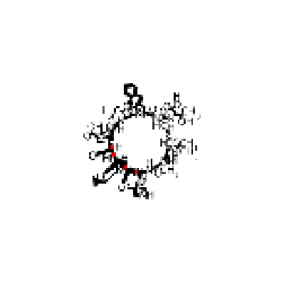 CC(C)[C@@H]1NC(=O)[C@@H]2CCCCn3cc(nn3)CC[C@H](NC(=O)[C@H](C)NC(=O)[C@@H](NC(C)(C)C)CSCC[C@@H](C(=O)N[C@H](C(=O)O)[C@@H](C)O)NC(=O)[C@H](Cc3cc4ccccc4cn3)NC1=O)C(=O)N[C@@H](Cc1c[nH]cn1)C(=O)N[C@@H](CC1CC1)C(=O)NCC(=O)N[C@@H](CCC(=O)O)C(=O)N2